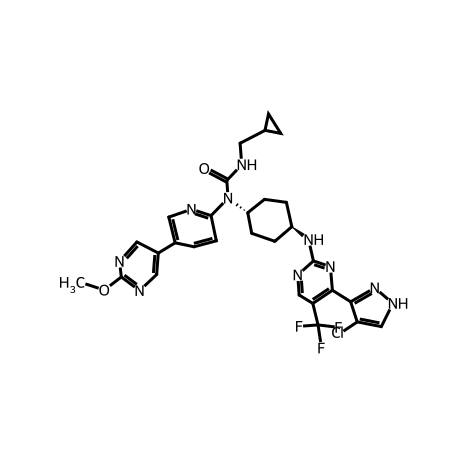 COc1ncc(-c2ccc(N(C(=O)NCC3CC3)[C@H]3CC[C@H](Nc4ncc(C(F)(F)F)c(-c5n[nH]cc5Cl)n4)CC3)nc2)cn1